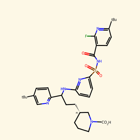 CC(C)(C)c1ccc(C(CC[C@H]2CCCN(C(=O)O)C2)Nc2cccc(S(=O)(=O)NC(=O)c3ccc(C(C)(C)C)nc3F)n2)nc1